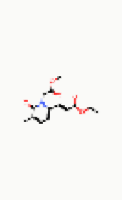 CCOC(=O)/C=C/c1ccc(C)c(=O)n1CC(=O)OC